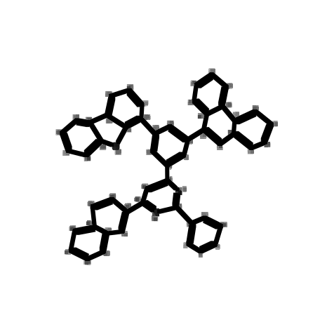 c1ccc(-c2nc(-c3cc(-c4cc5ccccc5c5ccccc45)cc(-c4cccc5c4oc4ccccc45)c3)cc(-c3ccc4ccccc4c3)n2)cc1